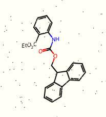 CCOC(=O)c1ccccc1NC(=O)OCC1c2ccccc2-c2ccccc21